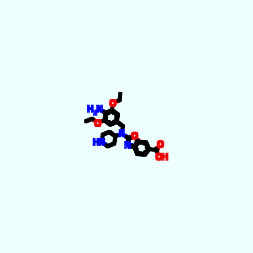 CCOc1cc(CN(c2nc3ccc(C(=O)O)cc3o2)C2CCNCC2)cc(OCC)c1N